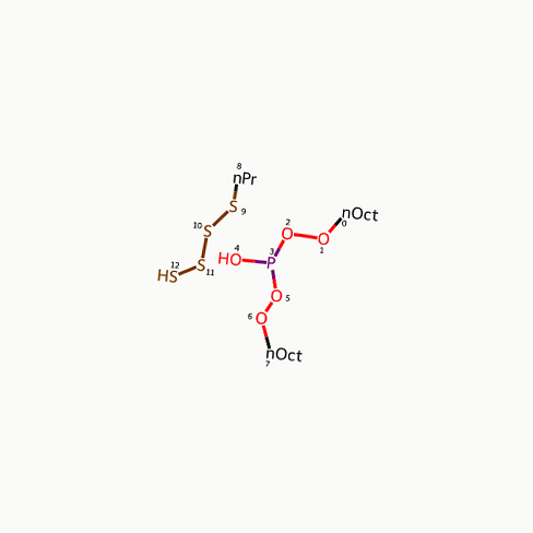 CCCCCCCCOOP(O)OOCCCCCCCC.CCCSSSS